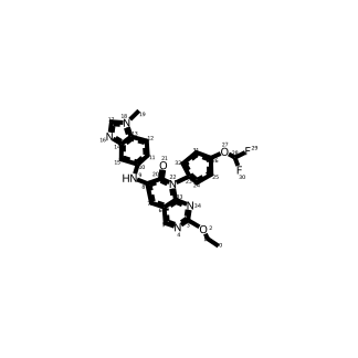 CCOc1ncc2cc(Nc3ccc4c(c3)ncn4C)c(=O)n(-c3ccc(OC(F)F)cc3)c2n1